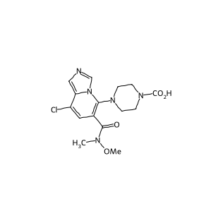 CON(C)C(=O)c1cc(Cl)c2cncn2c1N1CCN(C(=O)O)CC1